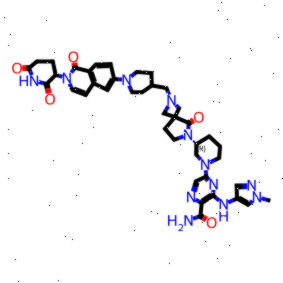 Cn1cc(Nc2nc(N3CCC[C@@H](N4CCC5(CN(CC6CCN(c7ccc8c(=O)n(C9CCC(=O)NC9=O)ccc8c7)CC6)C5)C4=O)C3)cnc2C(N)=O)cn1